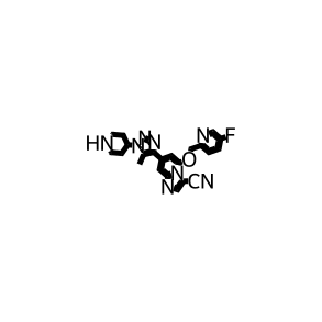 Cc1c(-c2cc(OCc3ccc(F)cn3)n3c(C#N)cnc3c2)nnn1C1CCNCC1